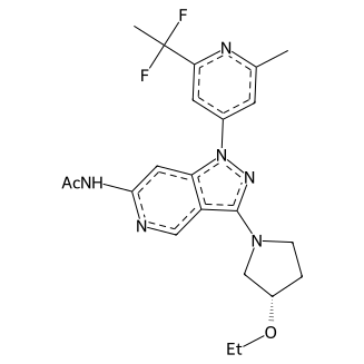 CCO[C@H]1CCN(c2nn(-c3cc(C)nc(C(C)(F)F)c3)c3cc(NC(C)=O)ncc23)C1